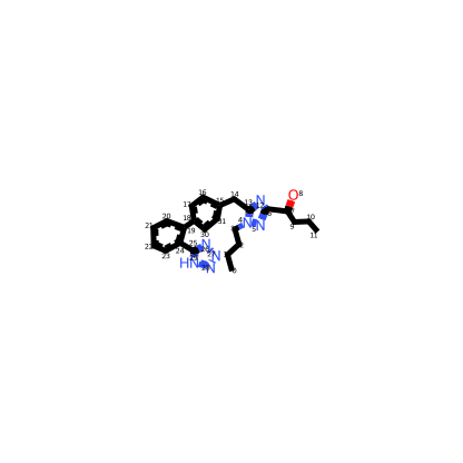 CCCCn1nc(C(=O)CCC)nc1Cc1ccc(-c2ccccc2-c2nnn[nH]2)cc1